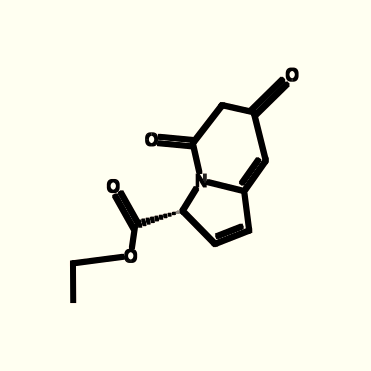 CCOC(=O)[C@H]1C=CC2=CC(=O)CC(=O)N21